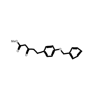 COC(=O)CC(=O)CCc1ccc(OCc2ccccc2)cc1